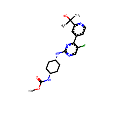 CC(C)(C)OC(=O)N[C@H]1CC[C@H](Nc2ncc(F)c(-c3ccnc(C(C)(C)O)c3)n2)CC1